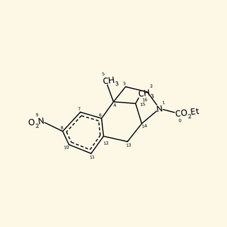 CCOC(=O)N1CCC2(C)c3cc([N+](=O)[O-])ccc3CC1C2C